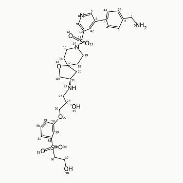 NCc1ccc(-c2cncc(S(=O)(=O)N3CCC4(CC3)C[C@@H](NC[C@H](O)COc3cccc(S(=O)(=O)CCO)c3)CO4)c2)cc1